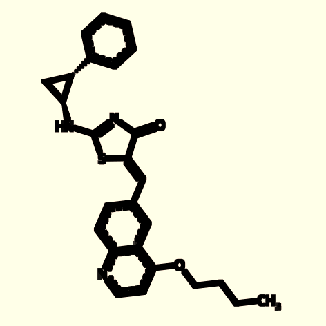 CCCCOc1ccnc2ccc(/C=C3\SC(N[C@H]4C[C@@H]4c4ccccc4)=NC3=O)cc12